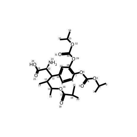 CC(C)OC(=O)Oc1ccc(C(C(C)C(C)OC(=O)C(C)C)[C@H](N)C(=O)O)cc1OC(=O)OC(C)C